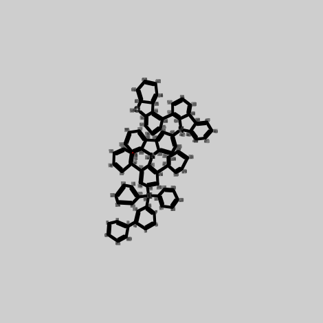 c1ccc(-c2cccc([Si](c3ccccc3)(c3ccccc3)c3cc(-c4ccccc4)c(-n4c5ccccc5c5cc(-n6c7ccccc7c7cccc(-c8cccc9oc%10ccccc%10c89)c76)ccc54)c(-c4ccccc4)c3)c2)cc1